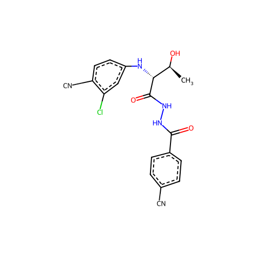 [C-]#[N+]c1ccc(N[C@@H](C(=O)NNC(=O)c2ccc(C#N)cc2)[C@H](C)O)cc1Cl